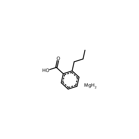 CCCc1ccccc1C(=O)O.[MgH2]